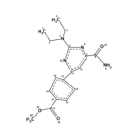 CCN(CC)c1nc(C(N)=O)cc(-c2ccc(C(=O)OC)cc2)n1